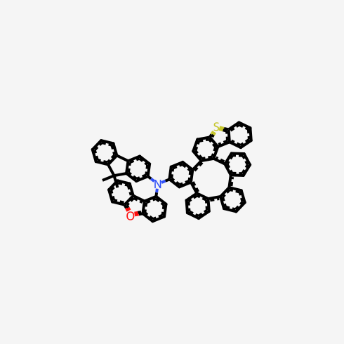 CC1(C)c2ccccc2-c2ccc(N(c3ccc4c(c3)c3ccccc3c3ccccc3c3ccccc3c3c4ccc4sc5ccccc5c43)c3cccc4oc5ccccc5c34)cc21